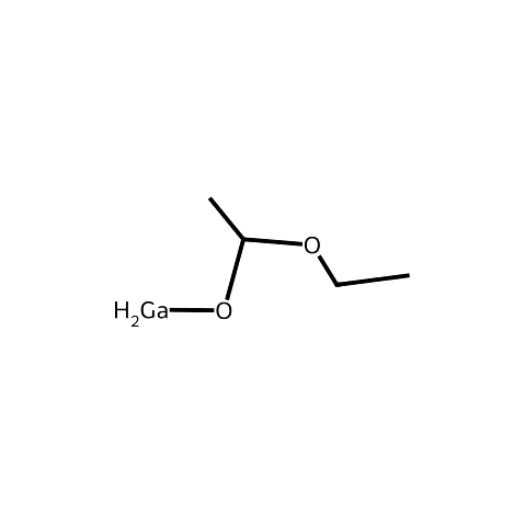 CCOC(C)[O][GaH2]